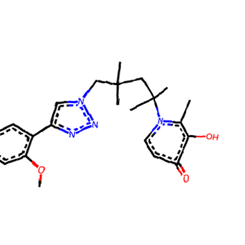 COc1ccccc1-c1cn(CC(C)(C)CC(C)(C)n2ccc(=O)c(O)c2C)nn1